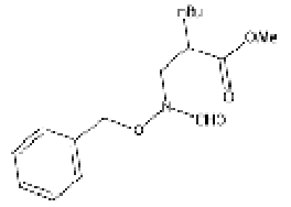 CCCCC(CN(C=O)OCc1ccccc1)C(=O)OC